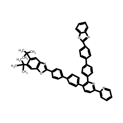 CC(C)(C)c1cc2nc(-c3ccc(-c4ccc(-c5ccc(-c6ccccn6)nc5-c5ccc(-c6ccc(-c7nc8ccccc8o7)cc6)cc5)cc4)cc3)oc2cc1C(C)(C)C